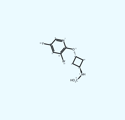 O=C(O)N[C@H]1C[C@H](Oc2ncc(F)cc2Br)C1